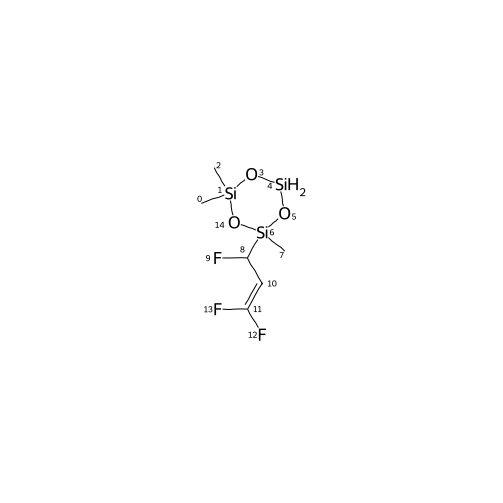 C[Si]1(C)O[SiH2]O[Si](C)(C(F)C=C(F)F)O1